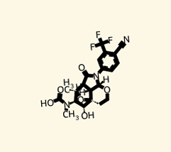 CN(C(=O)O)[C@@H]1[C@@H](O)[C@]23CCO[C@@H]4[C@H]2[C@@H](C(=O)N4c2ccc(C#N)c(C(F)(F)F)c2)[C@@]1(C)O3